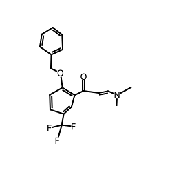 CN(C)C=CC(=O)c1cc(C(F)(F)F)ccc1OCc1ccccc1